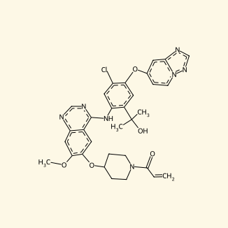 C=CC(=O)N1CCC(Oc2cc3c(Nc4cc(Cl)c(Oc5ccn6ncnc6c5)cc4C(C)(C)O)ncnc3cc2OC)CC1